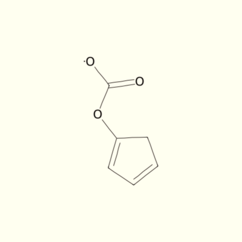 [O]C(=O)OC1=CC=CC1